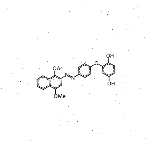 COc1cc(N=Nc2ccc(Oc3cc(O)ccc3O)cc2)c(OC(C)=O)c2ccccc12